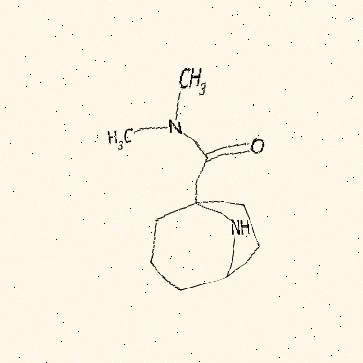 CN(C)C(=O)C12CCCC(CC1)N2